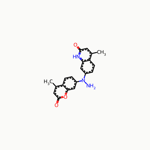 Cc1cc(=O)[nH]c2cc(N(N)c3ccc4c(C)cc(=O)oc4c3)ccc12